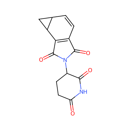 O=C1CCC(N2C(=O)C3=C(C2=O)C2CC2C=C3)C(=O)N1